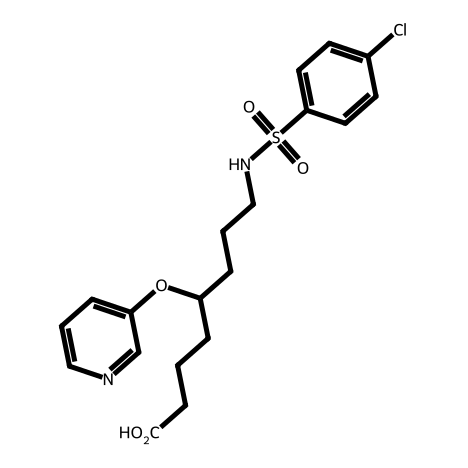 O=C(O)CCCC(CCCNS(=O)(=O)c1ccc(Cl)cc1)Oc1cccnc1